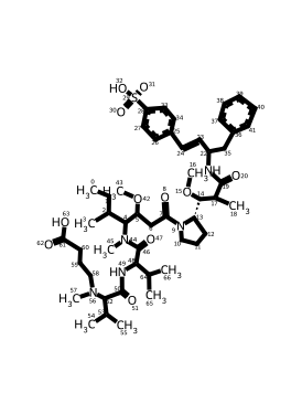 CCC(C)C(C(CC(=O)N1CCC[C@H]1C(OC)C(C)C(=O)NC(/C=C/c1ccc(S(=O)(=O)O)cc1)Cc1ccccc1)OC)N(C)C(=O)C(NC(=O)C(C(C)C)N(C)CCCC(=O)O)C(C)C